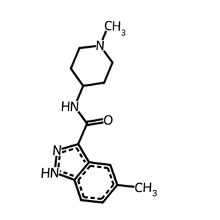 Cc1ccc2[nH]nc(C(=O)NC3CCN(C)CC3)c2c1